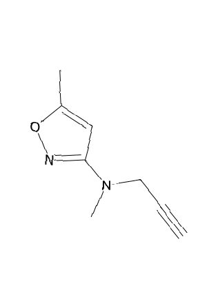 C#CCN(C)c1cc(C)on1